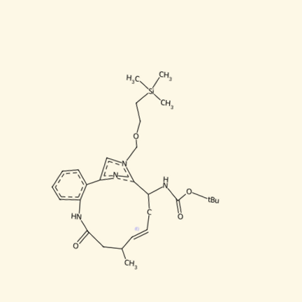 CC1/C=C/CC(NC(=O)OC(C)(C)C)c2nc(cn2COCC[Si](C)(C)C)-c2ccccc2NC(=O)C1